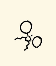 CCCCC1=CC(CCCC)N(C2CCCCCCCCCCC2)N(C)[C@H]1C1CCCCCCCCCC1